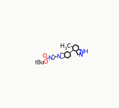 Cc1ccc2[nH]ncc2c1-c1ccc2c(c1)CN(C1CN(C(=O)OC(C)(C)C)C1)C2